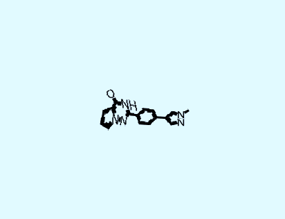 Cn1cc(-c2ccc(-c3nn4cccc4c(=O)[nH]3)cc2)cn1